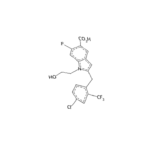 O=C(O)c1cc2cc(Cc3ccc(Cl)cc3C(F)(F)F)n(CCO)c2cc1F